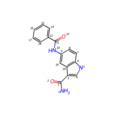 NC(=O)C1=C[N]c2ccc(NC(=O)c3ccccc3)cc21